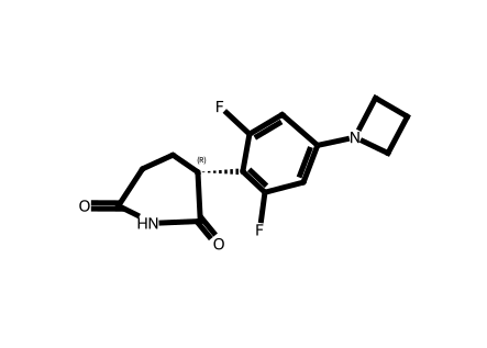 O=C1CC[C@H](c2c(F)cc(N3CCC3)cc2F)C(=O)N1